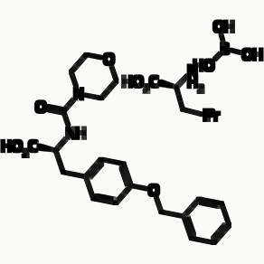 CC(C)C[C@H](N)C(=O)O.O=C(O)[C@H](Cc1ccc(OCc2ccccc2)cc1)NC(=O)N1CCOCC1.OB(O)O